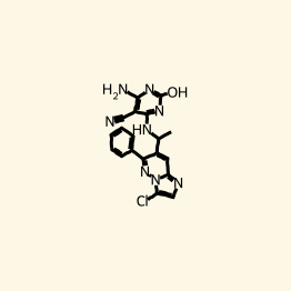 CC(Nc1nc(O)nc(N)c1C#N)c1cc2ncc(Cl)n2nc1-c1ccccc1